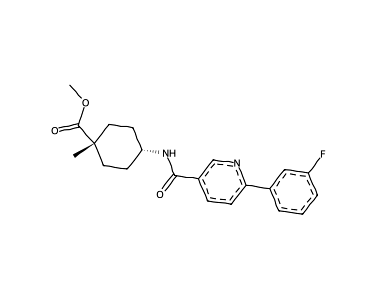 COC(=O)[C@]1(C)CC[C@H](NC(=O)c2ccc(-c3cccc(F)c3)nc2)CC1